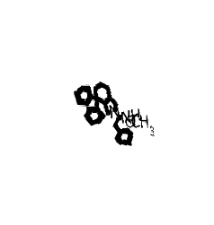 COc1ccccc1CC(=N)N1CC2CCCC(c3ccccc3)(c3ccccc3)C2C1